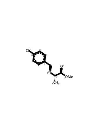 COC(=O)[C@H](C)/N=C/c1ccc(Cl)cc1